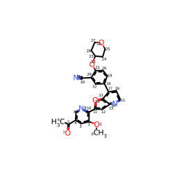 COc1cc(C(C)=O)cnc1-c1cc2nccc(-c3ccc(OC4CCOCC4)c(C#N)c3)c2o1